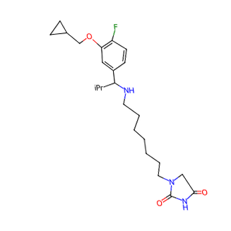 CC(C)C(NCCCCCCCN1CC(=O)NC1=O)c1ccc(F)c(OCC2CC2)c1